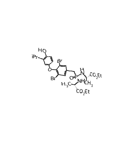 CCOC(=O)[C@H](C)NP(=O)(Cc1cc(Br)c(Oc2ccc(O)c(C(C)C)c2)c(Br)c1)N[C@@H](C)C(=O)OCC